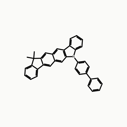 CC1(C)c2ccccc2-c2cc3cc4c(cc3cc21)c1ccccc1n4-c1ccc(-c2ccccc2)cc1